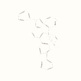 C=C/C=C\C(N)(c1cccnc1)c1c(-c2cc3sc4ccccc4c3cc2N)ccc2c1ccn2-c1ccccc1